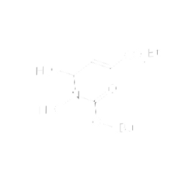 CCOC(=O)/C=C/C(C)N(C)C(=O)OC(C)(C)C